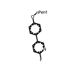 CCCCCOc1ccc(-c2ccc(F)nc2)cc1